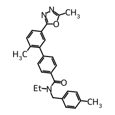 CCN(Cc1ccc(C)cc1)C(=O)c1ccc(-c2cc(-c3nnc(C)o3)ccc2C)cc1